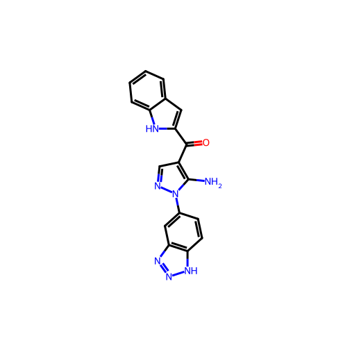 Nc1c(C(=O)c2cc3ccccc3[nH]2)cnn1-c1ccc2[nH]nnc2c1